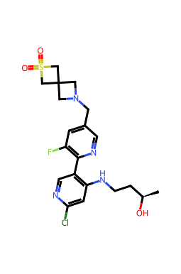 C[C@@H](O)CCNc1cc(Cl)ncc1-c1ncc(CN2CC3(C2)CS(=O)(=O)C3)cc1F